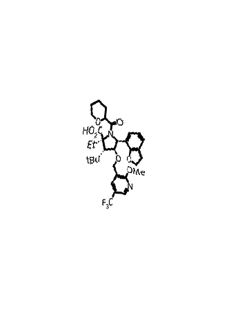 CC[C@@]1(C(=O)O)[C@@H](C(C)(C)C)[C@H](OCc2cc(C(F)(F)F)cnc2OC)[C@H](c2cccc3c2OCC3)N1C(=O)C1CCCCO1